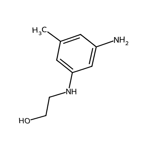 Cc1cc(N)cc(NCCO)c1